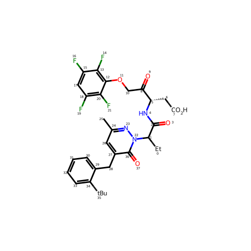 CCC(C(=O)N[C@@H](CC(=O)O)C(=O)COc1c(F)c(F)cc(F)c1F)n1nc(C)cc(Cc2ccccc2C(C)(C)C)c1=O